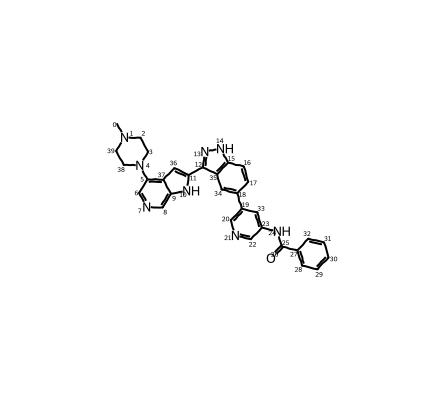 CN1CCN(c2cncc3[nH]c(-c4n[nH]c5ccc(-c6cncc(NC(=O)c7ccccc7)c6)cc45)cc23)CC1